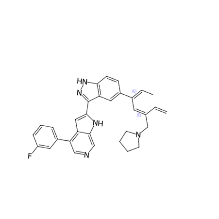 C=C/C(=C\C(=C/C)c1ccc2[nH]nc(-c3cc4c(-c5cccc(F)c5)cncc4[nH]3)c2c1)CN1CCCC1